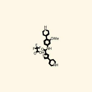 COc1cc(NC(=O)c2cc(C3=CCNCC3)cs2)ccc1C1=CCNCC1.O=C(O)C(F)(F)F